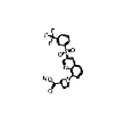 O=C(O)C1CCN(c2cccc3cc(S(=O)(=O)c4cccc(C(F)(F)F)c4)cnc23)C1